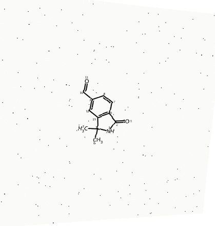 CC1(C)NC(=O)c2ccc(C=O)cc21